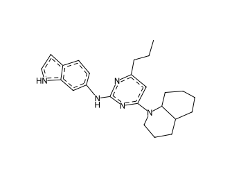 CCCc1cc(N2CCCC3CCCCC32)nc(Nc2ccc3cc[nH]c3c2)n1